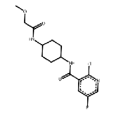 COCC(=O)NC1CCC(NC(=O)c2cc(F)cnc2Cl)CC1